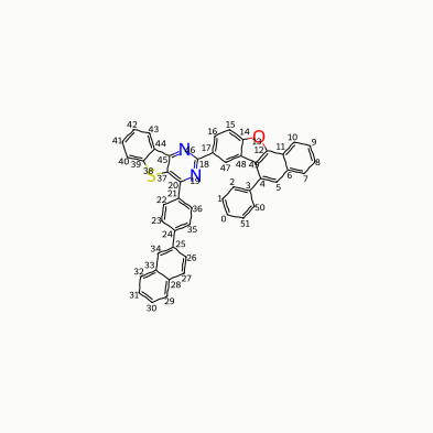 c1ccc(-c2cc3ccccc3c3oc4ccc(-c5nc(-c6ccc(-c7ccc8ccccc8c7)cc6)c6sc7ccccc7c6n5)cc4c23)cc1